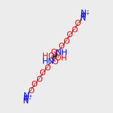 [N-]=[N+]=NCCOCCOCCOCCOCCOCCNC(=O)[C@H](O)[C@@H](O)C(=O)NCCOCCOCCOCCOCCOCCN=[N+]=[N-]